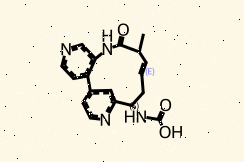 CC1/C=C/C[C@H](NC(=O)O)c2cc(ccn2)-c2ccncc2NC1=O